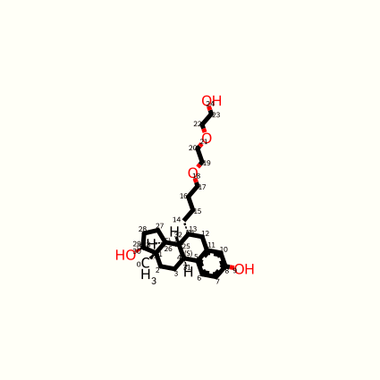 C[C@]12CC[C@@H]3c4ccc(O)cc4C[C@@H](CCCCOCCOCCO)[C@H]3[C@@H]1CC[C@@H]2O